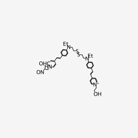 CCN(CCSSCCN(CC)c1ccc(/C=C/c2cc[n+](CCO)cc2)cc1)c1ccc(/C=C/C(/C=C\NCCN=O)=C/C=O)cc1